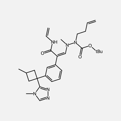 C=CCCN(C(=O)OC(C)(C)C)N(C)/C=C(\C(=O)NC=C)c1cccc(C2(c3nncn3C)CC(C)C2)c1